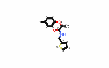 CCC(Oc1ccc(C)cc1)C(=O)NCc1cccs1